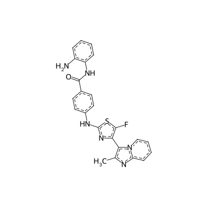 Cc1nc2ccccn2c1-c1nc(Nc2ccc(C(=O)Nc3ccccc3N)cc2)sc1F